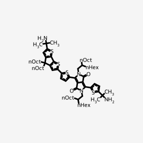 CCCCCCCCC(CCCCCC)CN1C(=O)C2=C(c3ccc(C(C)(C)N)s3)N(CC(CCCCCC)CCCCCCCC)C(=O)C2=C1c1ccc(-c2cc3c(s2)-c2sc(C(C)(C)N)cc2C3(CCCCCCCC)CCCCCCCC)s1